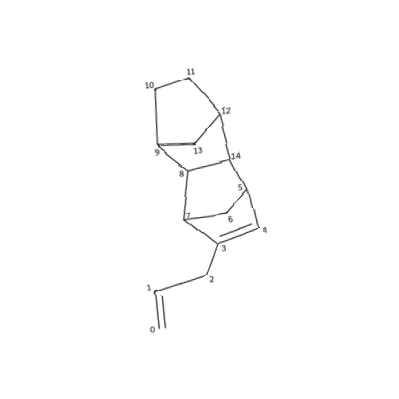 C=CCC1=CC2CC1C1C3CCC(C3)C21